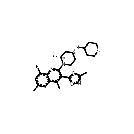 Cc1cc(F)c2nc(N3CC[C@@H](NC4CCOCC4)C[C@H]3C)c(-c3nc(C)no3)c(C)c2c1